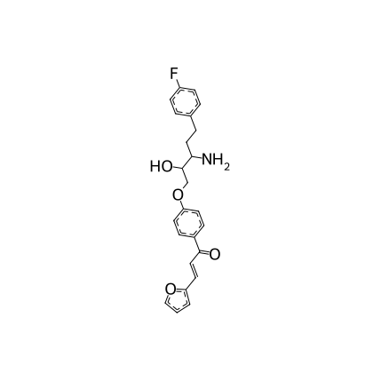 NC(CCc1ccc(F)cc1)C(O)COc1ccc(C(=O)/C=C/c2ccco2)cc1